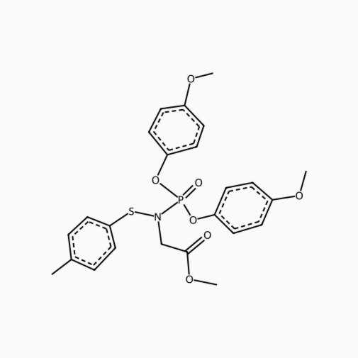 COC(=O)CN(Sc1ccc(C)cc1)P(=O)(Oc1ccc(OC)cc1)Oc1ccc(OC)cc1